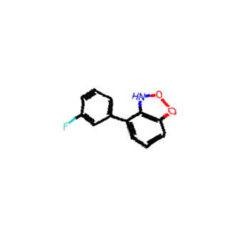 Fc1cccc(-c2cccc3c2NOO3)c1